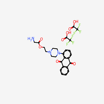 NCC(=O)OCCN1CCN(c2cccc3c2C(=O)c2ccccc2C3=O)CC1.O=C(O)C(F)(F)F.O=C(O)C(F)(F)F